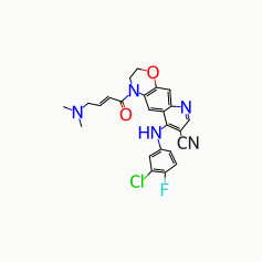 CN(C)CC=CC(=O)N1CCOc2cc3ncc(C#N)c(Nc4ccc(F)c(Cl)c4)c3cc21